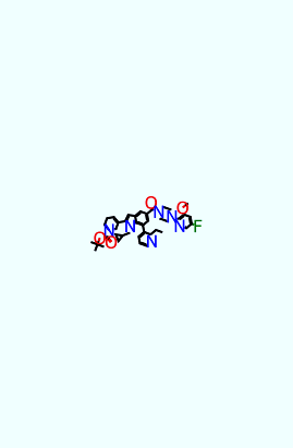 CCc1ncccc1-c1cc(C(=O)N2CCN(c3ncc(F)cc3OC)CC2)cc2cc(C3=CCCN(C(=O)OC(C)(C)C)C3)n(CC3CC3)c12